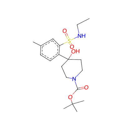 CCNS(=O)(=O)c1cc(C)ccc1C1(O)CCN(C(=O)OC(C)(C)C)CC1